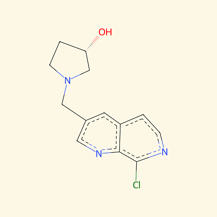 O[C@H]1CCN(Cc2cnc3c(Cl)nccc3c2)C1